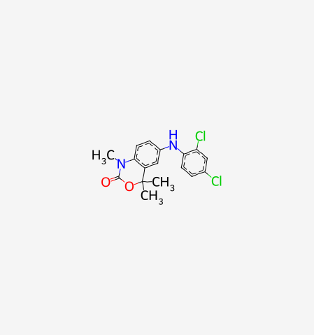 CN1C(=O)OC(C)(C)c2cc(Nc3ccc(Cl)cc3Cl)ccc21